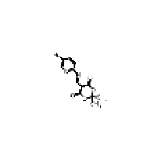 CC1(C)OC(=O)C(/C=N/c2ccc(Br)cn2)C(=O)O1